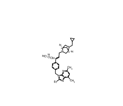 CCc1nc2c(C)cc(C)nc2n1Cc1ccc(C=CCN2C[C@H]3C[C@@H]2CN3CC2CC2)cc1.Cl.Cl.Cl